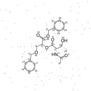 CC(=O)N[C@H](C(=O)OC(COCc1ccccc1)C(=O)OCc1ccccc1)[C@@H](C)O